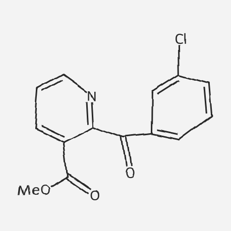 COC(=O)c1cccnc1C(=O)c1cccc(Cl)c1